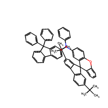 CC(C)(C)c1ccc2c(c1)C1(c3ccccc3Oc3ccc(N(c4ccccc4)c4ccc5c(c4)C(c4ccccc4)(c4ccccc4)c4ccccc4-5)cc31)c1cc(C(C)(C)C)ccc1-2